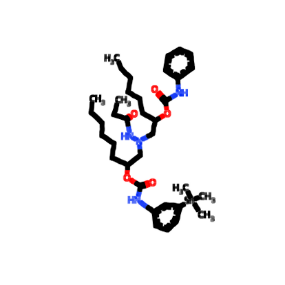 CCCCCCC(CN(CC(CCCCCC)OC(=O)Nc1ccc[c]([Sn]([CH3])([CH3])[CH3])c1)NC(=O)CC)OC(=O)Nc1ccccc1